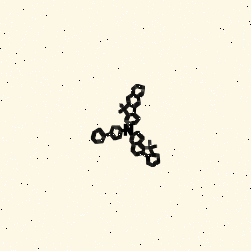 CC1(C)c2cc(N(c3ccc(-c4ccccc4)cc3)c3ccc4c5c(ccc4c3)-c3ccccc3C5(C)C)ccc2-c2cc3ccccc3cc21